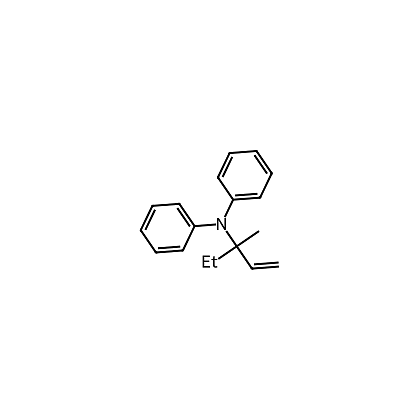 C=CC(C)(CC)N(c1ccccc1)c1ccccc1